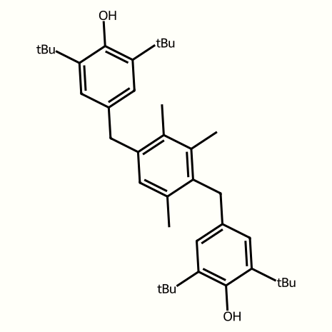 Cc1cc(Cc2cc(C(C)(C)C)c(O)c(C(C)(C)C)c2)c(C)c(C)c1Cc1cc(C(C)(C)C)c(O)c(C(C)(C)C)c1